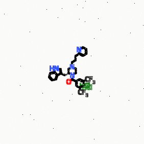 Cl.Cl.O=C(c1cc(C(F)(F)F)cc(C(F)(F)F)c1)N1CCN(CCCc2ccccn2)C[C@H]1Cc1c[nH]c2ccccc12